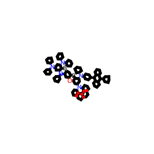 c1ccc(-c2ccccc2N(c2cc3c4c(c2)N(c2ccc(-c5c6ccccc6c(-c6ccccc6)c6ccccc56)cc2)c2ccccc2B4c2cc4c(cc2O3)N(c2ccccc2)c2cc(N(c3ccccc3)c3ccccc3)cc3c2B4c2ccccc2N3c2ccccc2)c2ccccc2-c2ccccc2)cc1